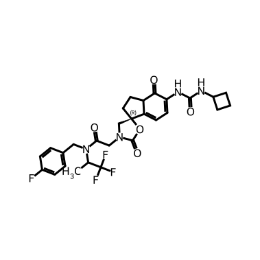 CC(N(Cc1ccc(F)cc1)C(=O)CN1C[C@]2(CCC3C(=O)C(NC(=O)NC4CCC4)=CC=C32)OC1=O)C(F)(F)F